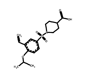 C=Cc1cc(S(=O)(=O)N2CCC(C(=O)O)CC2)ccc1OC(C)C